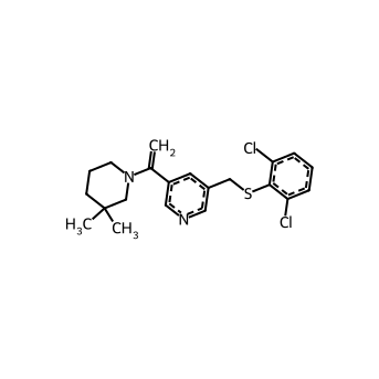 C=C(c1cncc(CSc2c(Cl)cccc2Cl)c1)N1CCCC(C)(C)C1